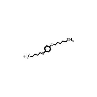 [CH2]CCCCSc1ccc(OCCCCCC)cc1